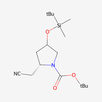 CC(C)(C)OC(=O)N1CC(O[Si](C)(C)C(C)(C)C)C[C@H]1CC#N